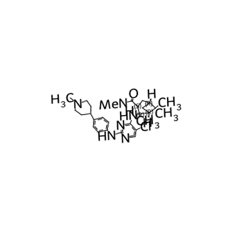 CNC(=O)[C@H]1C[C@H]2C[C@H](C2(C)C)[C@@]1(C)Nc1nc(Nc2ccc(C3CCN(C)CC3)cc2)ncc1Cl